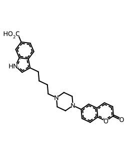 O=C(O)c1ccc2c(CCCCN3CCN(c4ccc5oc(=O)ccc5c4)CC3)c[nH]c2c1